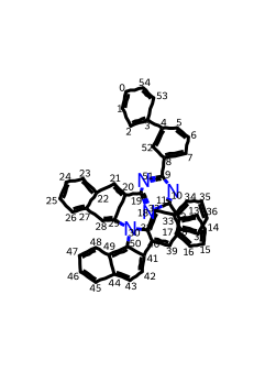 c1ccc(-c2cccc(-c3nc(-c4ccccc4)nc(-c4cc5ccccc5cc4-n4c5cc6ccccc6cc5c5ccc6ccccc6c54)n3)c2)cc1